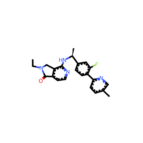 CCN1Cc2c(ccnc2N[C@@H](C)c2ccc(-c3ccc(C)cn3)c(F)c2)C1=O